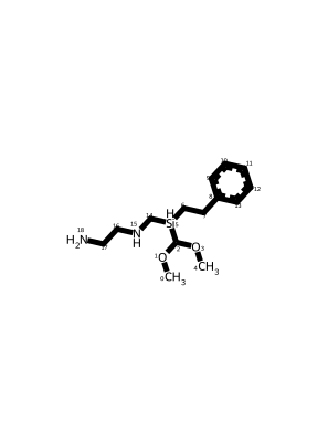 COC(OC)[SiH](CCc1ccccc1)CNCCN